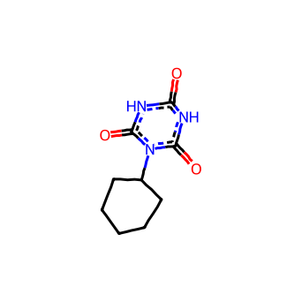 O=c1[nH]c(=O)n(C2CCCCC2)c(=O)[nH]1